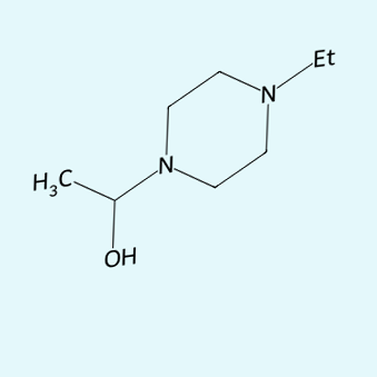 CCN1CCN(C(C)O)CC1